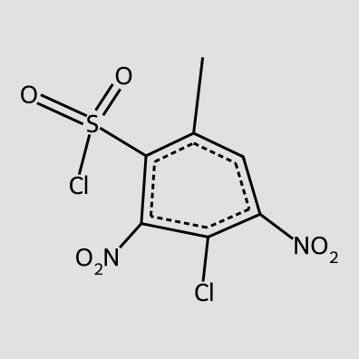 Cc1cc([N+](=O)[O-])c(Cl)c([N+](=O)[O-])c1S(=O)(=O)Cl